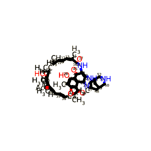 CC(=O)O[C@H]1[C@H](C)[C@H](O)[C@H](C)C[C@@H](C)/C=C/C=C(/C)C(=O)NC2=C3N[C@@]4(N=C3c3c(c(O)c(C)c5c3C(=O)[C@@](C)(C/C=C/C[C@H]1C)O5)C2=O)C(C)CC1CNCC4C1